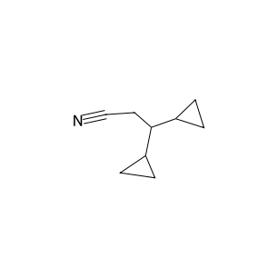 N#CCC(C1CC1)C1CC1